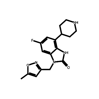 Cc1cc(Cn2c(=O)[nH]c3c(C4CCNCC4)cc(F)cc32)no1